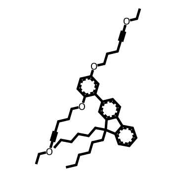 CCCCCCC1(CCCCCC)c2ccccc2-c2ccc(-c3cc(OCCCC#COCC)ccc3OCCCC#COCC)cc21